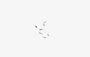 Cc1ncc2c(F)c(C#N)c(C34CC(C)(C3)C4)n2n1